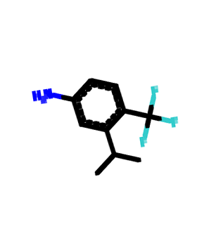 CC(C)c1cc(N)ccc1C(F)(F)F